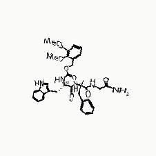 COc1cccc(COC(=O)N[C@@H](Cc2c[nH]c3ccccc23)C(=O)N[C@@](C)(Cc2ccccc2)C(=O)NCC(N)=O)c1OC